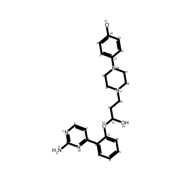 Nc1nccc(-c2ccccc2OC(O)CCN2CCN(c3ccc(Cl)cc3)CC2)n1